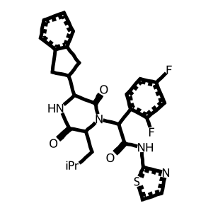 CC(C)CC1C(=O)NC(C2Cc3ccccc3C2)C(=O)N1C(C(=O)Nc1nccs1)c1ccc(F)cc1F